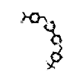 CC(=O)c1ccc(C[n+]2ccc(-c3cc[n+](Cc4ccc(C(F)(F)F)cc4)cc3)cc2)cc1